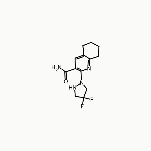 NC(=O)c1cc2c(nc1N1CC(F)(F)CN1)CCCC2